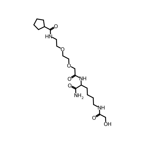 NC(=O)C(CCCCNC(=O)CO)NC(=O)COCCOCCNC(=O)C1CCCC1